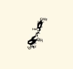 CCN(CC)c1ccc(C=NCCN=Cc2ccc(OC)cc2O)c(O)c1